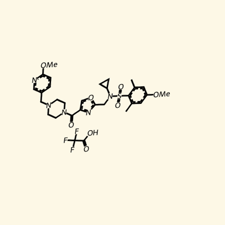 COc1cc(C)c(S(=O)(=O)N(Cc2nc(C(=O)N3CCN(Cc4ccc(OC)nc4)CC3)co2)C2CC2)c(C)c1.O=C(O)C(F)(F)F